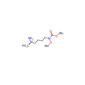 CC(C)(C)OC(=O)N(CCCC[C@H](N)C(=O)O)OC(C)(C)C